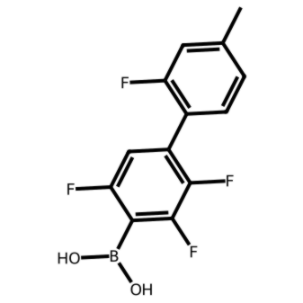 Cc1ccc(-c2cc(F)c(B(O)O)c(F)c2F)c(F)c1